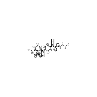 CCCCOC(=O)Nc1ccc(Nc2cccc(CC)c2[N+](=O)[O-])cc1